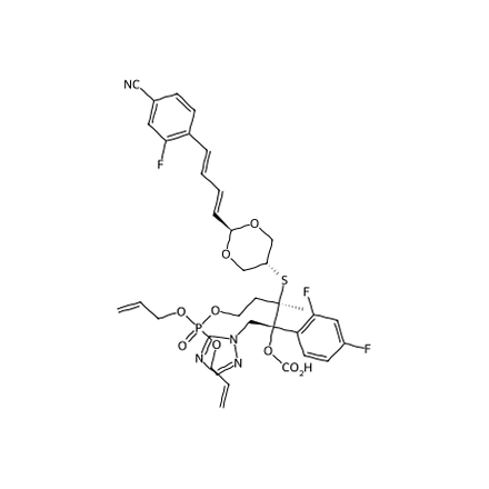 C=CCOP(=O)(OCC=C)OCC[C@@](C)(S[C@H]1CO[C@H](/C=C/C=C/c2ccc(C#N)cc2F)OC1)[C@@](Cn1cncn1)(OC(=O)O)c1ccc(F)cc1F